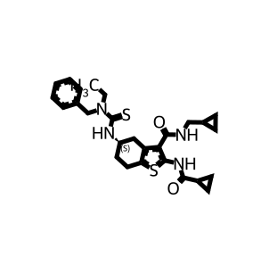 CCN(Cc1ccccc1)C(=S)N[C@H]1CCc2sc(NC(=O)C3CC3)c(C(=O)NCC3CC3)c2C1